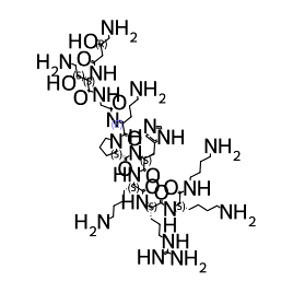 N=C(N)NCCC[C@H](NC(=O)[C@H](CCCCN)NC(=O)[C@H](Cc1cnc[nH]1)NC(=O)[C@@H]1CCCN1C(=O)/C(CCCN)=N/C(=O)CNC(=O)[C@@H](NC(=O)C[C@@H](O)CN)[C@@H](O)CN)C(=O)N[C@@H](CCCCN)C(=O)NCCCCN